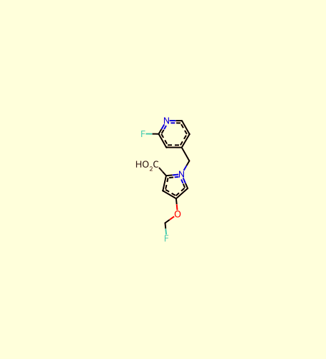 O=C(O)c1cc(OCF)cn1Cc1ccnc(F)c1